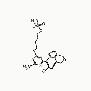 Nc1nc(SCCCCOS(N)(=O)=O)nc(-c2c(Cl)cc3c4c(cccc24)COC3)n1